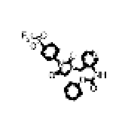 O=C(Nc1cnccc1CN1CC(=O)N(c2ccc(S(=O)(=O)C(F)(F)F)cc2)C1=O)Oc1ccccc1